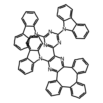 c1ccc2c(c1)-c1ccccc1-c1nc(-c3nc(-n4c5ccccc5c5ccccc54)nc(-n4c5ccccc5c5ccccc54)n3)c(-n3c4ccccc4c4ccccc43)nc1-c1ccccc1-2